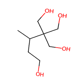 CC(CCO)C(CO)(CO)CO